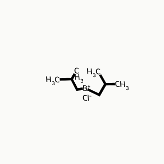 CC(C)C[B+]CC(C)C.[Cl-]